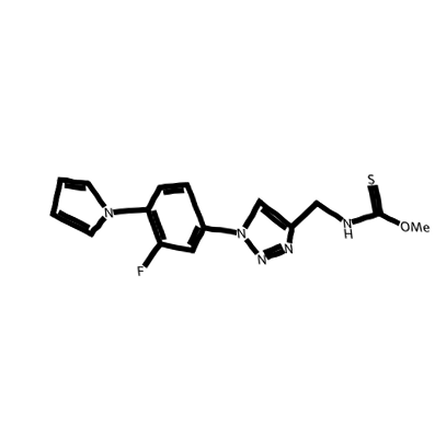 COC(=S)NCc1cn(-c2ccc(-n3cccc3)c(F)c2)nn1